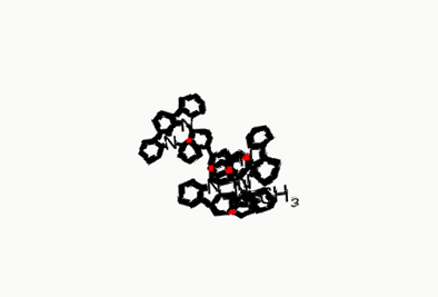 Cc1ccccc1N(c1ccccc1)c1cccc2c3ccccc3n(-c3cc(-c4ccc(-n5c6ccccc6c6ccc7c8ccccc8n(-c8ccccc8)c7c65)cc4)cc(-n4c5ccccc5c5ccc6c7ccccc7n(-c7ccccc7)c6c54)c3)c12